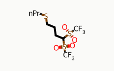 CCCSCCCC(S(=O)(=O)C(F)(F)F)S(=O)(=O)C(F)(F)F